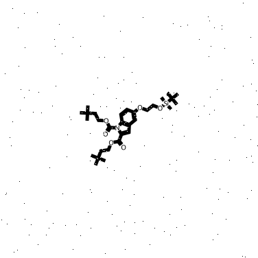 CC(C)(C)CCOC(=O)c1cc2cc(OCCO[Si](C)(C)C(C)(C)C)ccc2n1C(=O)OCCC(C)(C)C